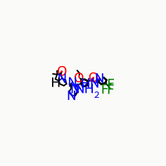 CCOc1cc(C(=O)Nc2cc(C(F)(F)F)ccn2)ccc1C1=NC([C@@H]2CC[C@H]3CC(C)(C)C(=O)N3C2)=C2C=NC=C[N+]12N